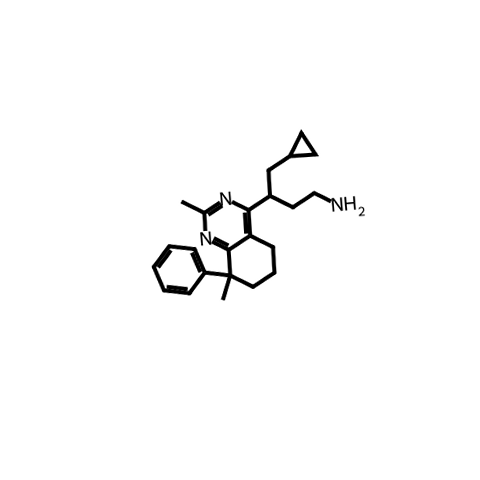 Cc1nc(C(CCN)CC2CC2)c2c(n1)C(C)(c1ccccc1)CCC2